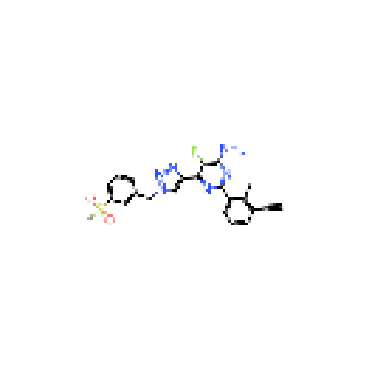 C#Cc1cccc(-c2nc(N)c(F)c(-c3cn(Cc4cccc(S(C)(=O)=O)c4)nn3)n2)c1C